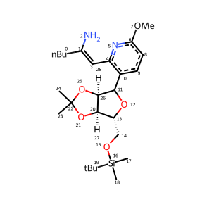 CCCCC(N)=Cc1nc(OC)ccc1C1O[C@H](CO[Si](C)(C)C(C)(C)C)[C@H]2OC(C)(C)O[C@@H]12